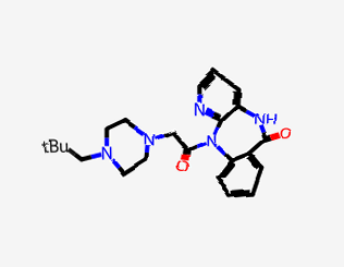 CC(C)(C)CN1CCN(CC(=O)N2c3ccccc3C(=O)Nc3cccnc32)CC1